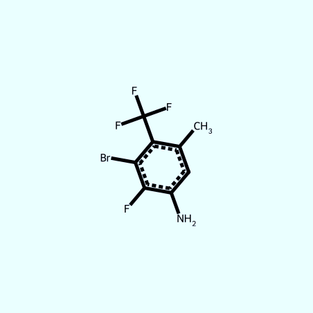 Cc1cc(N)c(F)c(Br)c1C(F)(F)F